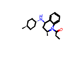 CCC(=O)N1c2ccccc2[C@H](N[C@H]2CC[C@H](C)CC2)C[C@@H]1C